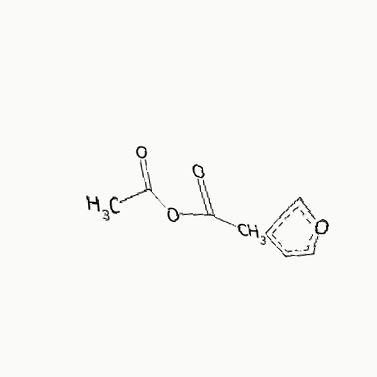 CC(=O)OC(C)=O.c1ccoc1